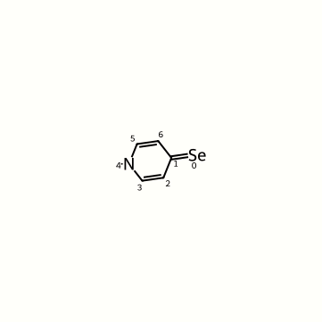 [Se]=C1C=C[N]C=C1